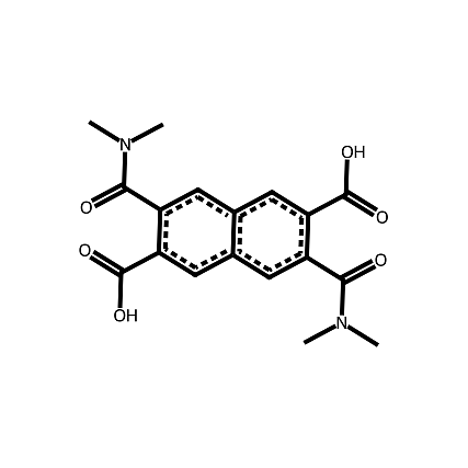 CN(C)C(=O)c1cc2cc(C(=O)O)c(C(=O)N(C)C)cc2cc1C(=O)O